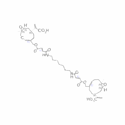 C=C(C(=O)O)[C@@H]1CC/C(COC(=O)/C=C/C(=O)NCCCCCCCNC(=O)/C=C/C(=O)OC/C2=C/CC[C@@]3(C)O[C@H]3C[C@H](C(=C)C(=O)O)CC2)=C\CC[C@@]2(C)O[C@H]2C1